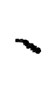 COc1ccc(NC(=O)c2cc3sc(N4CCCCC4)nc3s2)cn1